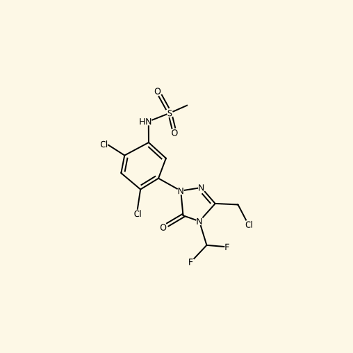 CS(=O)(=O)Nc1cc(-n2nc(CCl)n(C(F)F)c2=O)c(Cl)cc1Cl